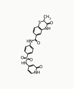 CC1Sc2ccc(C(=O)Nc3ccc(S(=O)(=O)Nc4cc[nH]c(=O)c4)cc3)cc2NC1=O